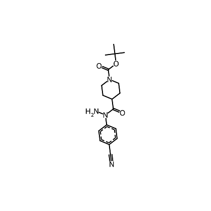 CC(C)(C)OC(=O)N1CCC(C(=O)N(N)c2ccc(C#N)cc2)CC1